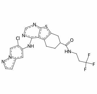 O=C(NCCC(F)(F)F)C1CCc2c(sc3ncnc(Nc4cc5ccnn5cc4Cl)c23)C1